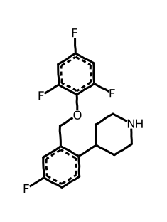 Fc1cc(F)c(OCc2cc(F)ccc2C2CCNCC2)c(F)c1